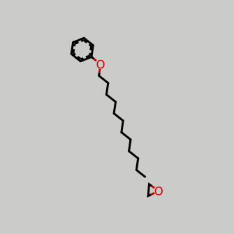 C1CO1.CCCCCCCCCCCCOc1ccccc1